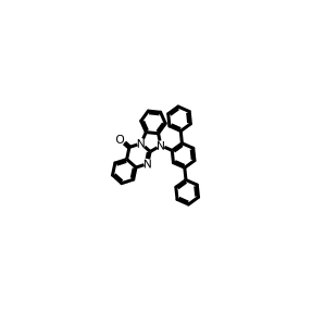 O=c1c2ccccc2nc2n(-c3cc(-c4ccccc4)ccc3-c3ccccc3)c3ccccc3n12